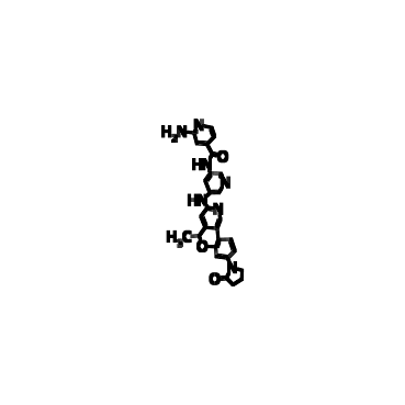 CC1Oc2cc(N3CCCC3=O)ccc2-c2cnc(Nc3cncc(NC(=O)c4ccnc(N)c4)c3)cc21